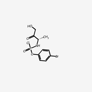 C[C@H](NP(=O)(Cl)Oc1ccc(Br)cc1)C(=O)CO